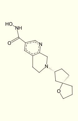 O=C(NO)c1cnc2c(c1)CCN([C@@H]1CC[C@@]3(CCCO3)C1)C2